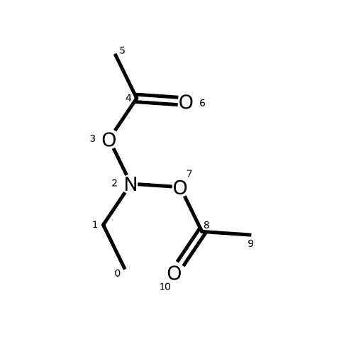 CCN(OC(C)=O)OC(C)=O